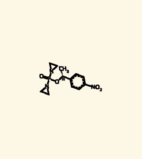 C[C@@H](OP(=O)(N1CC1)N1CC1)c1ccc([N+](=O)[O-])cc1